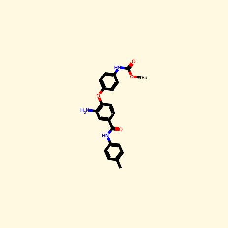 Cc1ccc(NC(=O)c2ccc(Oc3ccc(NC(=O)OC(C)(C)C)cc3)c(N)c2)cc1